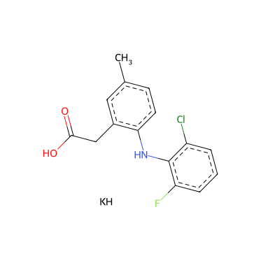 Cc1ccc(Nc2c(F)cccc2Cl)c(CC(=O)O)c1.[KH]